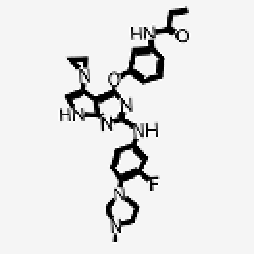 C=CC(=O)Nc1cccc(Oc2nc(Nc3ccc(N4CCN(C)CC4)c(F)c3)nc3[nH]cc(N4CC4)c23)c1